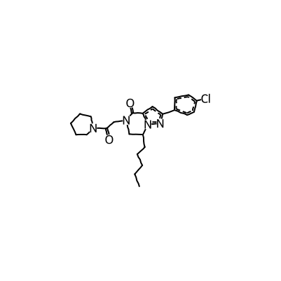 CCCCCC1CN(CC(=O)N2CCCCC2)C(=O)c2cc(-c3ccc(Cl)cc3)nn21